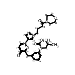 CC(C)CN(C(=O)O)c1cccc(Cc2nn(-c3cnn(CCCC(=O)N4CCOCC4)c3)ccc2=O)c1